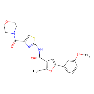 Cc1oc(-c2cccc(OC(F)(F)F)c2)cc1C(=O)Nc1nc(C(=O)N2CCOCC2)cs1